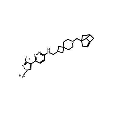 Cc1nn(C)cc1-c1ccc(NCC2CC3(CCN(CC45CC=C6CC(C4)C65)CC3)C2)nn1